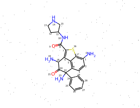 Nc1ccc2c3c(c(C(=O)NC4CCNC4)sc13)C(N)C(=O)C2(N)c1ccccc1